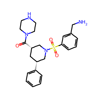 NCc1cccc(S(=O)(=O)N2C[C@@H](C(=O)N3CCNCC3)C[C@@H](c3ccccc3)C2)c1